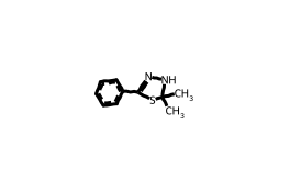 CC1(C)NN=C(c2ccccc2)S1